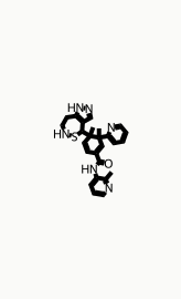 Cc1ncccc1NC(=O)C1=CC(C)(c2ccccn2)C(C)(C2SNCCc3[nH]ncc32)C=C1